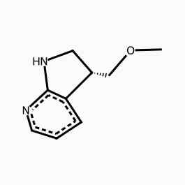 COC[C@H]1CNc2ncccc21